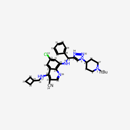 CC(C)(C)N1CCC(n2cc([C@@H](Nc3cc(Cl)cc4c(NCC5CCC5)c(C#N)cnc34)c3ccccc3)nn2)CC1